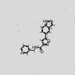 O=C(NCc1cccnc1)c1cc(-c2ccc3[nH]ncc3c2)on1